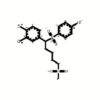 CS(=O)(=O)CCCCC(c1ccc(Cl)c(Cl)c1)S(=O)(=O)c1ccc(Cl)cc1